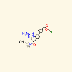 CCCN(CCCN=O)C(=O)C1=Cc2ccc(-c3ccc(CC(=O)OCCF)cc3)cc2NC(N=NN)C1